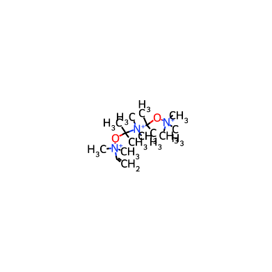 C=C[N+](C)(C)OC(C)(C)[N+](C)(C)C(C)(C)O[N+](C)(C)C